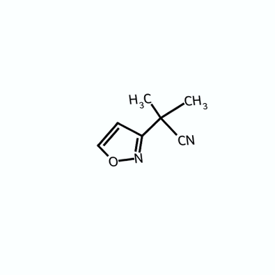 CC(C)(C#N)c1ccon1